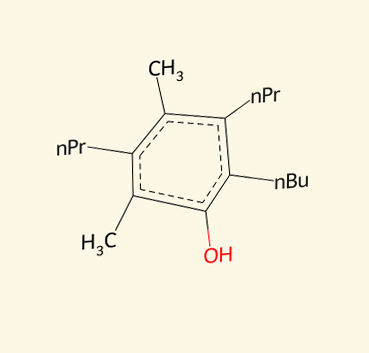 CCCCc1c(O)c(C)c(CCC)c(C)c1CCC